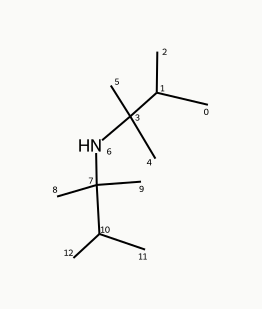 CC(C)C(C)(C)NC(C)(C)C(C)C